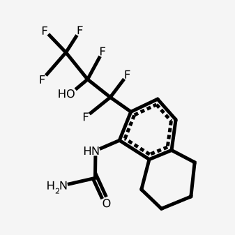 NC(=O)Nc1c(C(F)(F)C(O)(F)C(F)(F)F)ccc2c1CCCC2